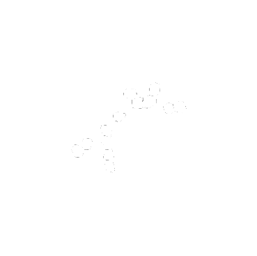 CC1(C)c2cc(-c3cc4cc(-c5ccc6ccccc6c5)c5ccccc5c4c4ccccc34)ccc2-c2ccc(N(c3ccc4ccccc4c3)c3ccc4ccccc4c3)cc21